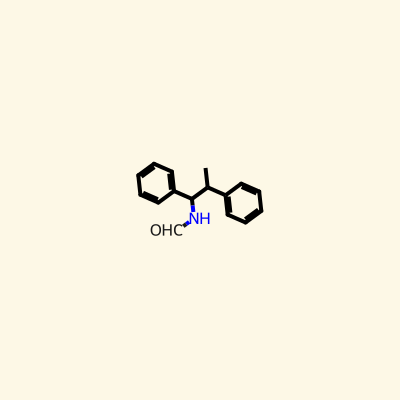 CC(c1ccccc1)C(NC=O)c1ccccc1